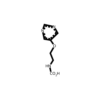 O=C(O)NCCOc1cncnc1